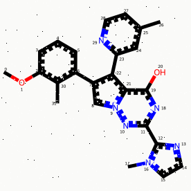 COc1cccc(-c2cn3nc(-c4nccn4C)nc(O)c3c2-c2cc(C)ccn2)c1C